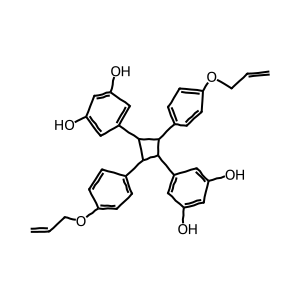 C=CCOc1ccc(C2C(c3cc(O)cc(O)c3)C(c3ccc(OCC=C)cc3)C2c2cc(O)cc(O)c2)cc1